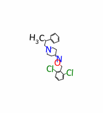 CC(CN1CCC(=NOCc2c(Cl)cccc2Cl)CC1)c1ccccc1